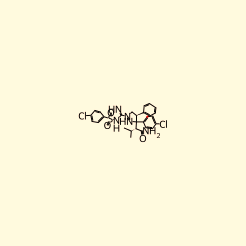 CC(C)[C@@H](C(N)=O)C1(c2ccc(Cl)cc2)NN(C(=N)NS(=O)(=O)c2ccc(Cl)cc2)C[C@H]1c1ccccc1